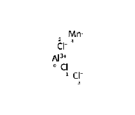 [Al+3].[Cl-].[Cl-].[Cl-].[Mn]